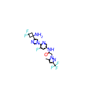 Cc1cc(C(F)(F)F)nn1CC(=O)Nc1cnc(-n2cnc(C3(N)CC(F)(F)C3)c2)c(F)c1